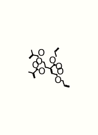 C=CCOC(=O)/C=C(\C(=O)OCC=C)C(COC(=O)C(=C)C)OC(=O)C(=C)C